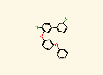 Clc1cccc(-c2ccc(Cl)c(Oc3cccc(Oc4ccccc4)c3)c2)c1